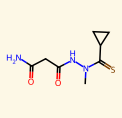 CN(NC(=O)CC(N)=O)C(=S)C1CC1